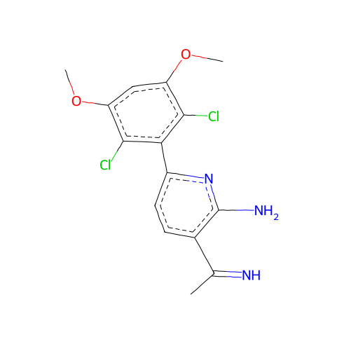 COc1cc(OC)c(Cl)c(-c2ccc(C(C)=N)c(N)n2)c1Cl